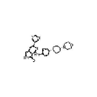 O=c1[nH]ccc2cc(-c3cncnc3)nc(Nc3ccc([C@H]4CC[C@@H](N5CCOCC5)CC4)cc3)c12